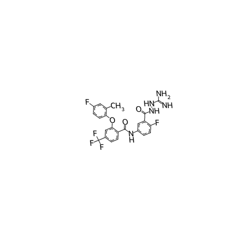 Cc1cc(F)ccc1Oc1cc(C(F)(F)F)ccc1C(=O)Nc1ccc(F)c(C(=O)NNC(=N)N)c1